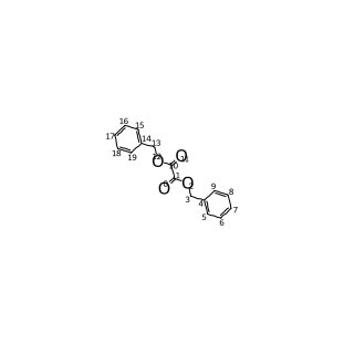 O=C(OCc1ccccc1)C(=O)OCc1ccccc1